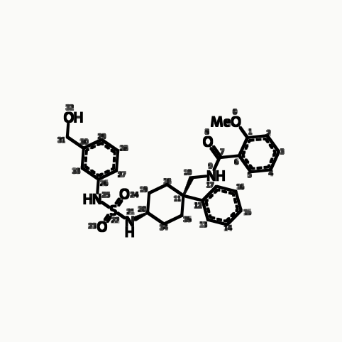 COc1ccccc1C(=O)NC[C@]1(c2ccccc2)CC[C@H](NS(=O)(=O)Nc2cccc(CO)c2)CC1